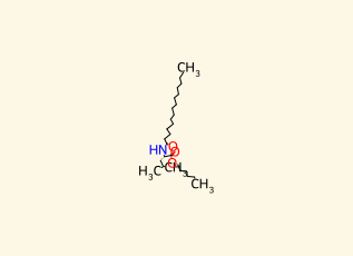 CCCCCCCCCCCCCCCC(=O)N[C@@H](CC(C)C)C(=O)OCCCCCC